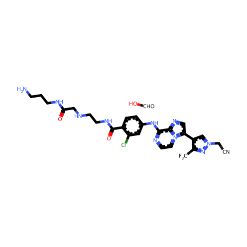 N#CCn1cc(-c2cnc3c(Nc4ccc(C(=O)NCCNCC(=O)NCCCN)c(Cl)c4)nccn23)c(C(F)(F)F)n1.O=CO